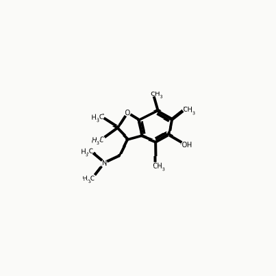 Cc1c(C)c2c(c(C)c1O)C(CN(C)C)C(C)(C)O2